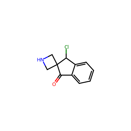 O=C1c2ccccc2C(Cl)C12CNC2